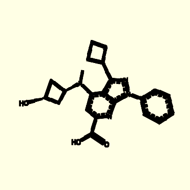 CN(c1cc(C(=O)O)nc2c1c(C1CCC1)nn2-c1ccccc1)[C@H]1C[C@@H](O)C1